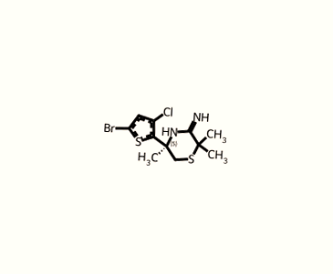 CC1(C)SC[C@@](C)(c2sc(Br)cc2Cl)NC1=N